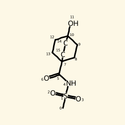 CS(=O)(=O)NC(=O)C12CCC(O)(CC1)CC2